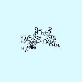 CCn1c(-c2cccnc2[C@H](C)OC)c(CC(C)(C)COC=O)c2cc(-c3cc(O)cc(C[C@H](NC(=O)C(C(C)C)N(C)C(=O)C4CC5(C4)CN(C(=O)[C@H]4CN4)C5)C(=O)N4CCC[C@@H](C)N4)c3)ccc21